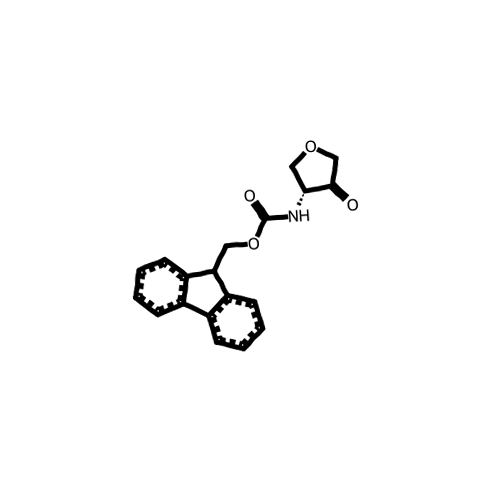 O=C(N[C@@H]1COCC1=O)OCC1c2ccccc2-c2ccccc21